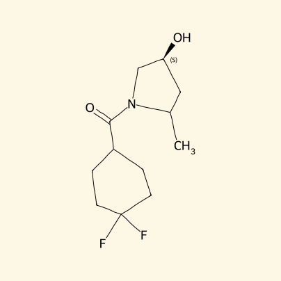 CC1C[C@H](O)CN1C(=O)C1CCC(F)(F)CC1